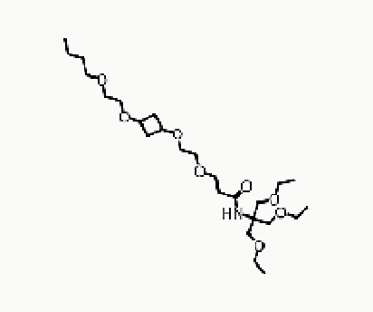 CCCCOCCOC1CC(OCCOCCC(=O)NC(COCC)(COCC)COCC)C1